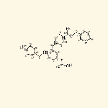 O=C(O)Cc1ccc(OCc2ccc(Cl)cc2)c(CN2CCN(C(=O)OCc3ccccc3)CC2)c1